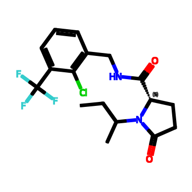 CCC(C)N1C(=O)CC[C@H]1C(=O)NCc1cccc(C(F)(F)F)c1Cl